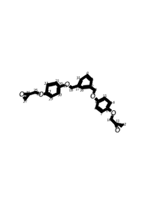 c1cc(COc2ccc(OCC3CO3)cc2)cc(COc2ccc(OCC3CO3)cc2)c1